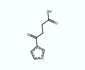 O=C(O)CCC(=O)c1ccsc1